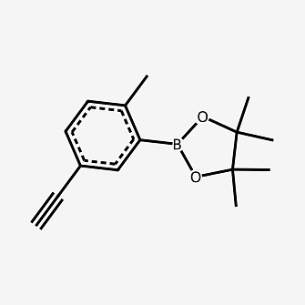 C#Cc1ccc(C)c(B2OC(C)(C)C(C)(C)O2)c1